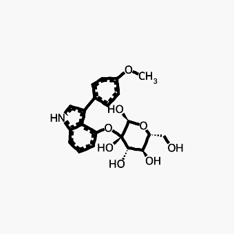 COc1ccc(-c2c[nH]c3cccc(O[C@]4(O)[C@@H](O)O[C@H](CO)[C@@H](O)[C@@H]4O)c23)cc1